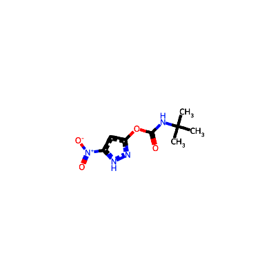 CC(C)(C)NC(=O)Oc1cc([N+](=O)[O-])[nH]n1